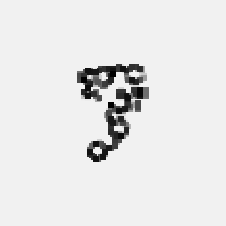 Nc1ncc2n1CCN(CC1C=C(NC(=O)Nc3ncc4n3CCN(CC3CCCCC3)C4)CCC1)C2